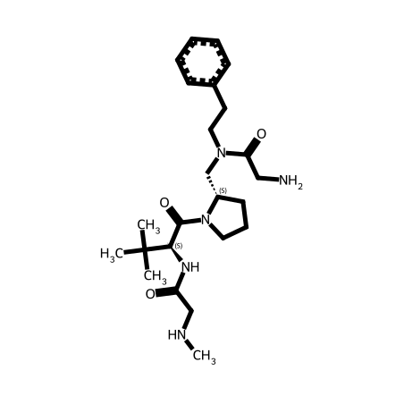 CNCC(=O)N[C@H](C(=O)N1CCC[C@H]1CN(CCc1ccccc1)C(=O)CN)C(C)(C)C